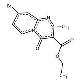 CCOC(=O)c1c(C)nc2cc(Br)ccn2c1=O